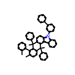 Cc1ccccc1-c1c(C)ccc2c1C(C)(c1ccccc1)c1ccc3c(c1C2(C)c1ccccc1)c1ccccc1n3-c1cccc(-c2ccccc2)c1